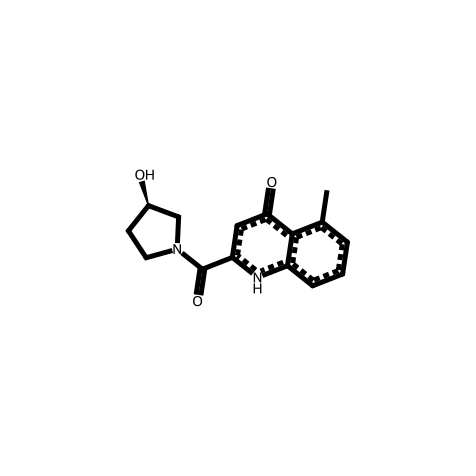 Cc1cccc2[nH]c(C(=O)N3CC[C@@H](O)C3)cc(=O)c12